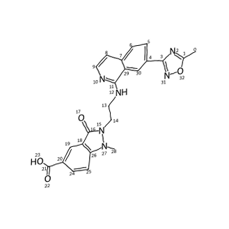 Cc1nc(-c2ccc3ccnc(NCCn4c(=O)c5cc(C(=O)O)ccc5n4C)c3c2)no1